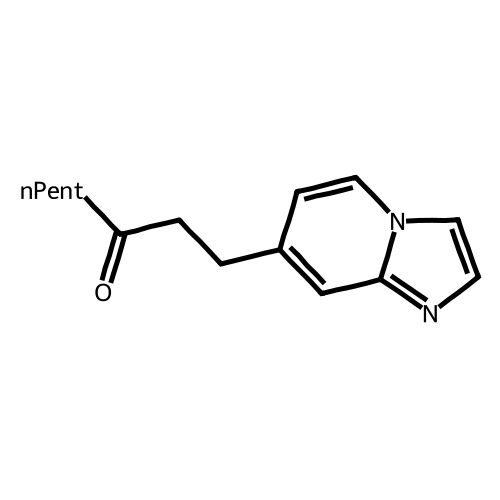 CCCCCC(=O)CCc1ccn2ccnc2c1